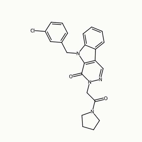 O=C(Cn1ncc2c3ccccc3n(Cc3cccc(Cl)c3)c2c1=O)N1CCCC1